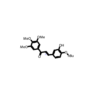 CCCCOc1ccc(/C=C/C(=O)c2cc(OC)c(OC)c(OC)c2)cc1O